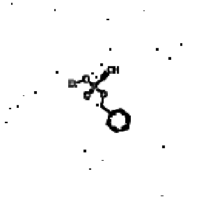 C#CP(=O)(OCC)OCc1ccccc1